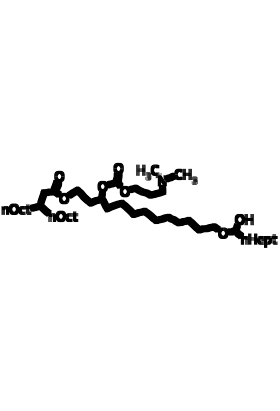 CCCCCCCCC(CCCCCCCC)CC(=O)OCCC(CCCCCCCCCCOC(O)CCCCCCC)OC(=O)OCCCN(C)C